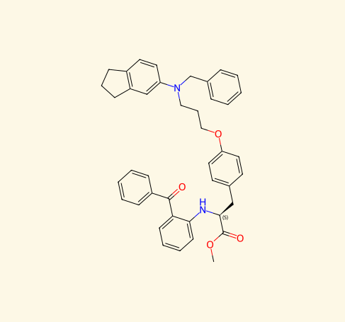 COC(=O)[C@H](Cc1ccc(OCCCN(Cc2ccccc2)c2ccc3c(c2)CCC3)cc1)Nc1ccccc1C(=O)c1ccccc1